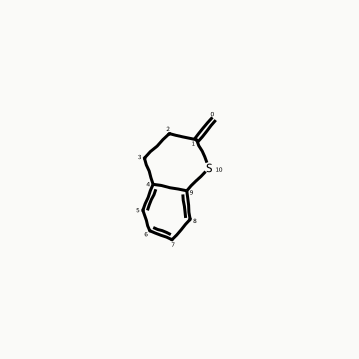 C=C1CCc2ccccc2S1